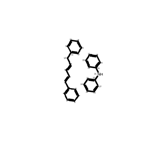 C(C=Cc1ccccc1)=CCc1ccccc1.c1ccc(Nc2ccccc2)cc1